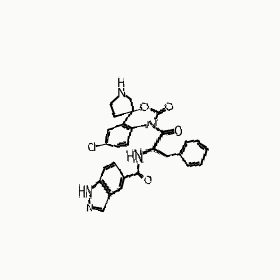 O=C(NC(Cc1ccccc1)C(=O)N1C(=O)OC2(CCNC2)c2cc(Cl)ccc21)c1ccc2[nH]ncc2c1